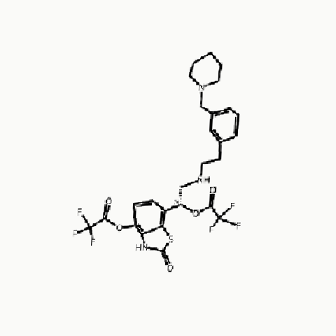 O=C(Oc1ccc([C@H](CNCCc2cccc(CN3CCCCC3)c2)OC(=O)C(F)(F)F)c2sc(=O)[nH]c12)C(F)(F)F